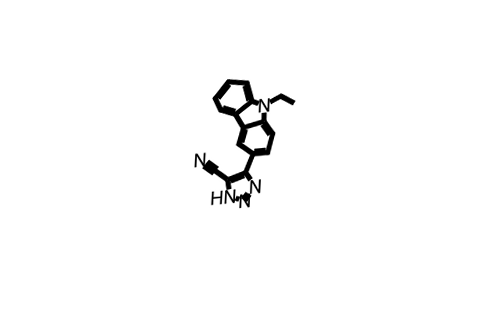 CCn1c2ccccc2c2cc(-c3nn[nH]c3C#N)ccc21